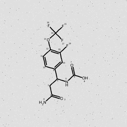 NC(=O)CC(NC(=O)O)c1ccc(OC(F)(F)F)c(F)c1